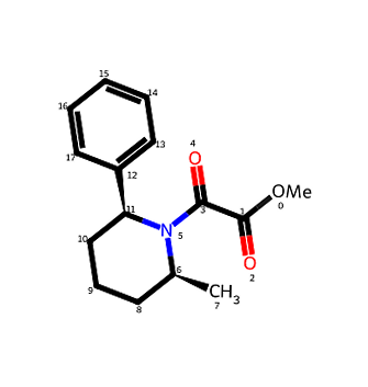 COC(=O)C(=O)N1[C@@H](C)CCC[C@H]1c1ccccc1